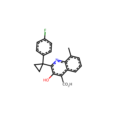 Cc1cccc2c(C(=O)O)c(O)c(C3(c4ccc(F)cc4)CC3)nc12